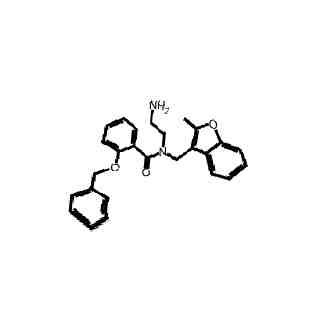 Cc1oc2ccccc2c1CN(CCN)C(=O)c1ccccc1OCc1ccccc1